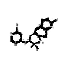 CC1(C)Oc2cc3oc(=O)ccc3cc2C[C@@H]1Oc1cc(Cl)ncn1